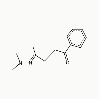 C/C(CCC(=O)c1ccccc1)=N\N(C)C